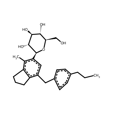 CCCc1ccc(Cc2cc([C@@H]3O[C@H](CO)[C@@H](O)[C@H](O)[C@H]3O)c(C)c3c2CCC3)cc1